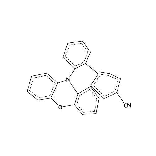 N#Cc1ccc(-c2ccccc2N2c3ccccc3Oc3ccccc32)cc1